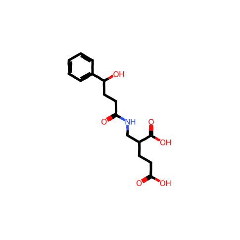 O=C(O)CCC(CNC(=O)CCC(O)c1ccccc1)C(=O)O